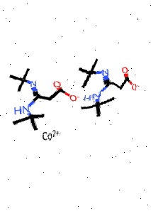 CC(C)(C)N=C(CC(=O)[O-])NC(C)(C)C.CC(C)(C)N=C(CC(=O)[O-])NC(C)(C)C.[Co+2]